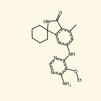 CCOc1c(N)ncnc1Nc1cc(C)c2c(c1)C1(CCCCC1)NC2=O